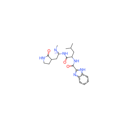 C/N=C(/CC1CCNC1=O)NC(=O)C(CC(C)C)NC(=O)c1nc2ccccc2[nH]1